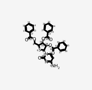 Nc1ccn([C@@H]2SC(COC(=O)c3ccccc3)[C@@H](OC(=O)c3ccccc3)[C@H]2OC(=O)c2ccccc2)c(=O)n1